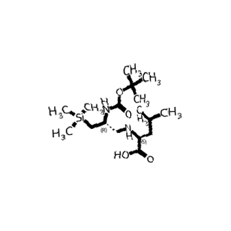 CC(C)C[C@H](NC[C@H](C[Si](C)(C)C)NC(=O)OC(C)(C)C)C(=O)O